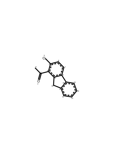 CC(=O)c1c(Cl)ccc2c1Cc1ccccc1-2